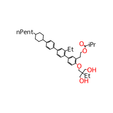 CCCCCC1CCC(c2ccc(-c3ccc(-c4ccc(OCC(CC)(CO)CO)c(CCOC(=O)C(C)C)c4)c(CC)c3)cc2)CC1